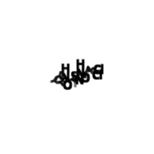 Cc1cc(C)c(NC(=O)c2sc(NC(=O)C3CC3(CCl)CCl)nc2C)c(C)c1